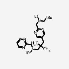 CCN(Cc1ncc(CC(C)(C)CN(Cc2ncccn2)C(C)C)cn1)CC(C)(C)C